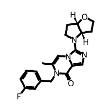 Cc1cn2c(N3CC[C@@H]4OCC[C@@H]43)ncc2c(=O)n1Cc1cccc(F)c1